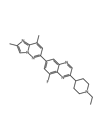 CCN1CCC(c2cnc3cc(-c4cc(C)c5nc(C)cn5n4)cc(F)c3n2)CC1